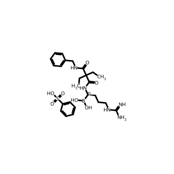 CCC(CC)(C(=O)NCc1ccccc1)C(=O)N[C@@H](CCCNC(=N)N)B(O)O.O=S(=O)(O)c1ccccc1